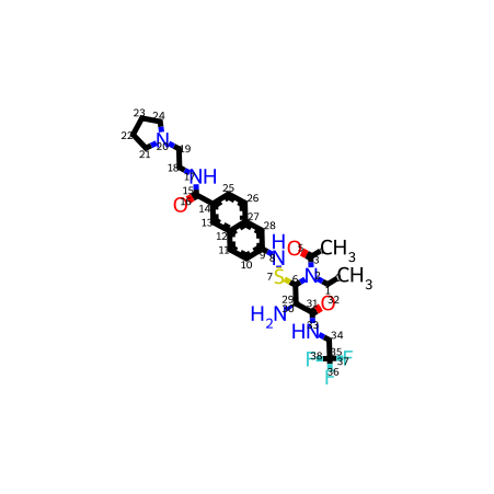 CCN(C(C)=O)C(SNc1ccc2cc(C(=O)NCCN3CCCC3)ccc2c1)[C@H](N)C(=O)NCC(F)(F)F